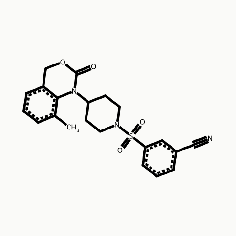 Cc1cccc2c1N(C1CCN(S(=O)(=O)c3cccc(C#N)c3)CC1)C(=O)OC2